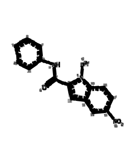 CCCn1c(C(=O)Nc2ccccc2)cc2cc([N+](=O)[O-])ccc21